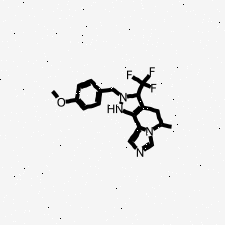 COc1ccc(CN2NC3=C(CC(C)n4cncc43)C2C(F)(F)F)cc1